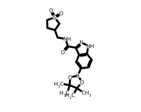 CC1(C)OB(c2ccc3[nH]nc(C(=O)NCC4CCS(=O)(=O)C4)c3c2)OC1(C)C